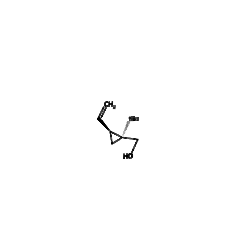 C=C[C@@H]1C[C@@]1(CO)C(C)(C)C